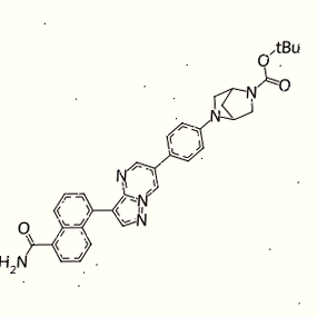 CC(C)(C)OC(=O)N1CC2CC1CN2c1ccc(-c2cnc3c(-c4cccc5c(C(N)=O)cccc45)cnn3c2)cc1